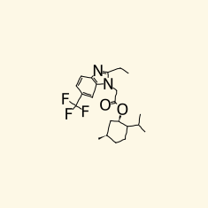 CCc1nc2ccc(C(F)(F)F)cc2n1CC(=O)O[C@@H]1C[C@H](C)CCC1C(C)C